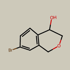 OC1COCc2cc(Br)ccc21